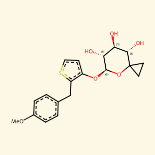 COc1ccc(Cc2sccc2O[C@@H]2OC3(CC3)[C@@H](O)[C@H](O)[C@H]2O)cc1